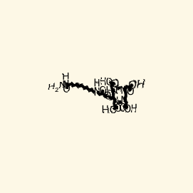 NNC(=O)CCCCCCCCCCNCC(O)COCC1CN(CC(=O)O)CCN(CC(=O)O)CCN(CC(=O)O)CCN1CC(=O)O